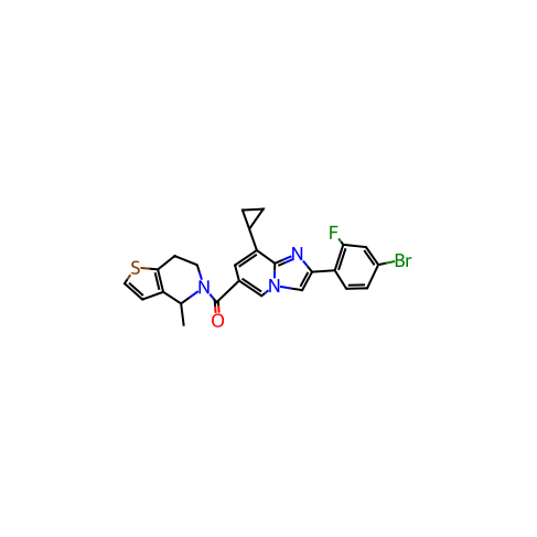 CC1c2ccsc2CCN1C(=O)c1cc(C2CC2)c2nc(-c3ccc(Br)cc3F)cn2c1